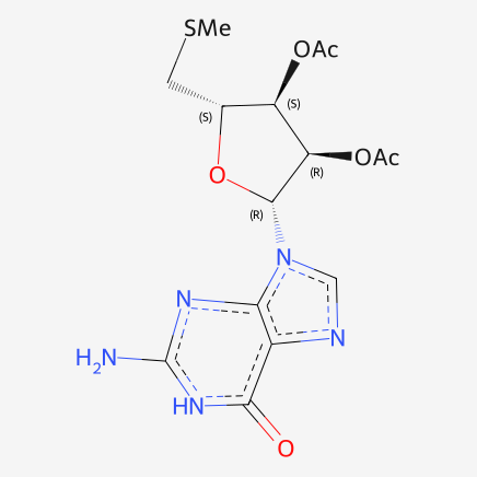 CSC[C@H]1O[C@@H](n2cnc3c(=O)[nH]c(N)nc32)[C@H](OC(C)=O)[C@@H]1OC(C)=O